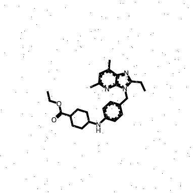 CCOC(=O)C1CCC(Nc2ccc(Cn3c(CC)nc4c(C)cc(C)nc43)cc2)CC1